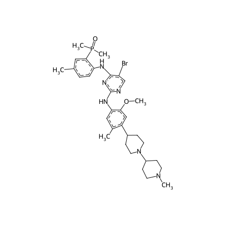 COc1cc(C2CCN(C3CCN(C)CC3)CC2)c(C)cc1Nc1ncc(Br)c(Nc2ccc(C)cc2P(C)(C)=O)n1